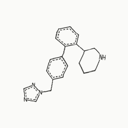 c1ccc(C2CCCNC2)c(-c2ccc(Cn3cncn3)cc2)c1